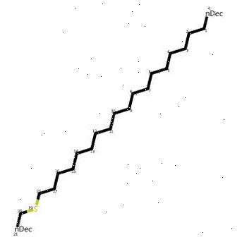 CCCCCCCCCCCCCCCCCCCCCCCCCCCCSCCCCCCCCCCC